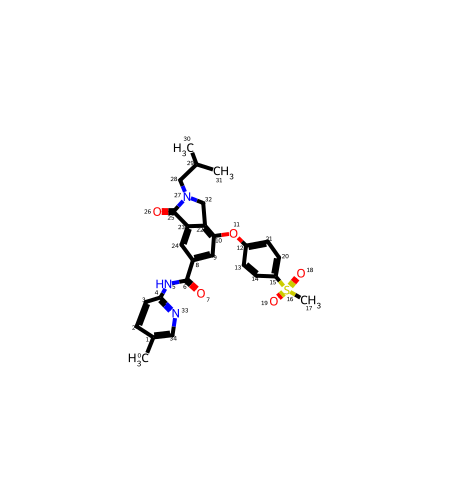 Cc1ccc(NC(=O)c2cc(Oc3ccc(S(C)(=O)=O)cc3)c3c(c2)C(=O)N(CC(C)C)C3)nc1